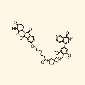 COc1cc(-c2cn(C)c(=O)c3cnccc23)cc(OC)c1CN1CC2(CCN(C(=O)CCOCCOc3ccc4c(c3)C(=O)N(C3CCC(=O)NC3=O)C4=O)C2)C1